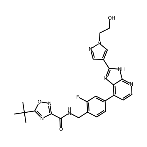 CC(C)(C)c1nc(C(=O)NCc2ccc(-c3ccnc4[nH]c(-c5cnn(CCO)c5)nc34)cc2F)no1